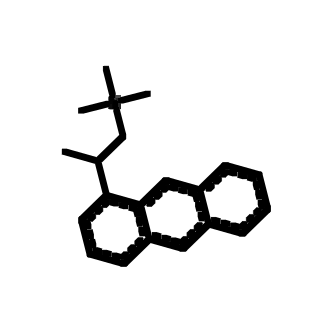 CC(C[Si](C)(C)C)c1cccc2cc3ccccc3cc12